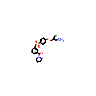 NCC(=CF)COc1ccc(S(=O)(=O)Cc2cccc(C(=O)N3CCCC3)c2)cc1